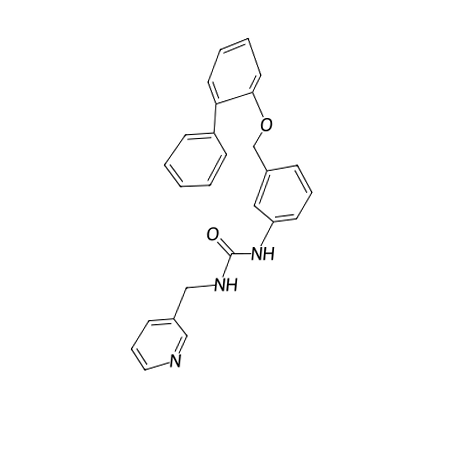 O=C(NCc1cccnc1)Nc1cccc(COc2ccccc2-c2ccccc2)c1